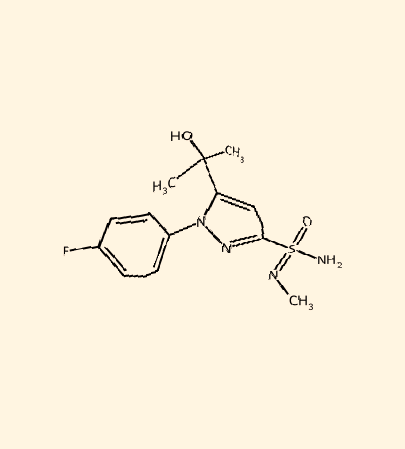 CN=S(N)(=O)c1cc(C(C)(C)O)n(-c2ccc(F)cc2)n1